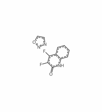 O=c1[nH]c2ccccc2c(F)c1F.c1conn1